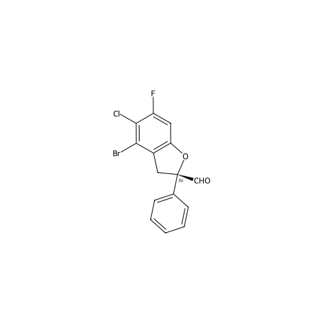 O=C[C@@]1(c2ccccc2)Cc2c(cc(F)c(Cl)c2Br)O1